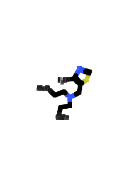 COCCN(CCOC)Cc1s[c]nc1C(F)(F)F